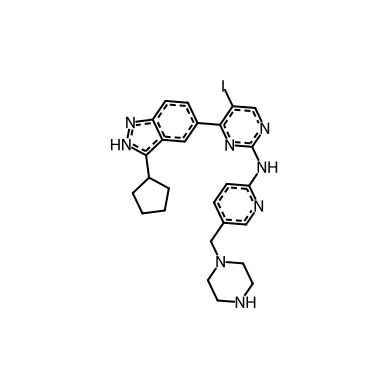 Ic1cnc(Nc2ccc(CN3CCNCC3)cn2)nc1-c1ccc2n[nH]c(C3CCCC3)c2c1